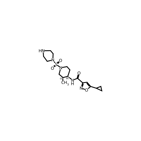 C[C@H]1CN(S(=O)(=O)N2CCNCC2)CC[C@H]1NC(=O)c1cc(C2CC2)on1